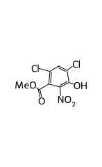 COC(=O)c1c(Cl)cc(Cl)c(O)c1[N+](=O)[O-]